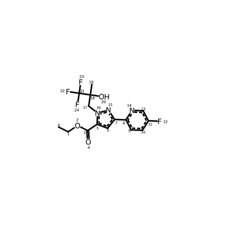 CCOC(=O)c1cc(-c2ccc(F)cn2)nn1CC(C)(O)C(F)(F)F